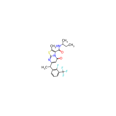 CCC(C)NC(=O)c1c(C)sc2nc(C(C)c3cccc(C(F)(F)F)c3F)cc(=O)n12